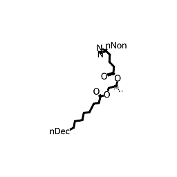 [CH2][C@H](COC(=O)CCCCCCCCCCCCCCCCC)OC(=O)CCCC1(CCCCCCCCC)N=N1